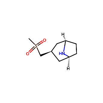 CS(=O)(=O)C[C@H]1C[C@H]2CC[C@@H](C1)N2